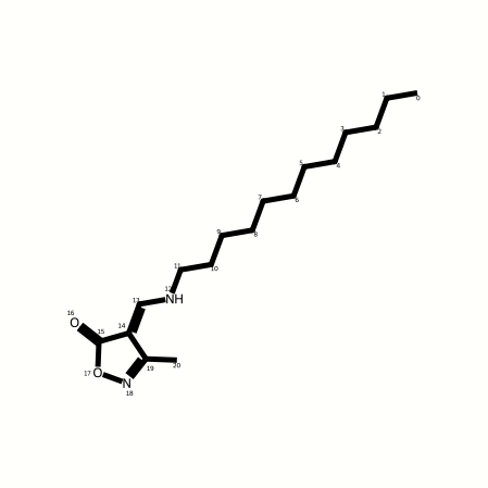 CCCCCCCCCCCCNC=C1C(=O)ON=C1C